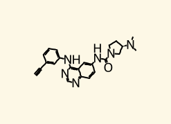 C#Cc1cccc(Nc2ncnc3ccc(NC(=O)N4CC[C@@H](N(C)C)C4)cc23)c1